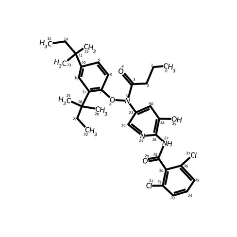 CCCC(=O)N(Oc1ccc(C(C)(C)CC)cc1C(C)(C)CC)c1cnc(NC(=O)c2c(Cl)cccc2Cl)c(O)c1